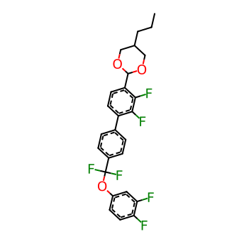 CCCC1COC(c2ccc(-c3ccc(C(F)(F)Oc4ccc(F)c(F)c4)cc3)c(F)c2F)OC1